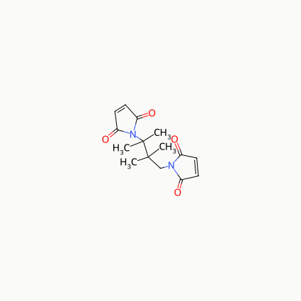 CC(C)(CN1C(=O)C=CC1=O)C(C)(C)N1C(=O)C=CC1=O